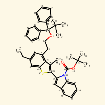 CCc1cc(CCO[Si](c2ccccc2)(c2ccccc2)C(C)(C)C)c2c(C)c(-c3cc4ccccc4n3C(=O)OC(C)(C)C)sc2c1